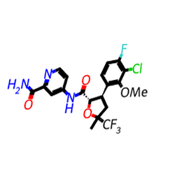 COc1c([C@H]2CC(C)(C(F)(F)F)O[C@@H]2C(=O)Nc2ccnc(C(N)=O)c2)ccc(F)c1Cl